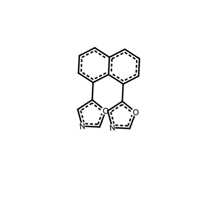 c1cc(-c2cnco2)c2c(-c3cnco3)cccc2c1